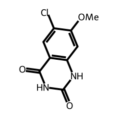 COc1cc2[nH]c(=O)[nH]c(=O)c2cc1Cl